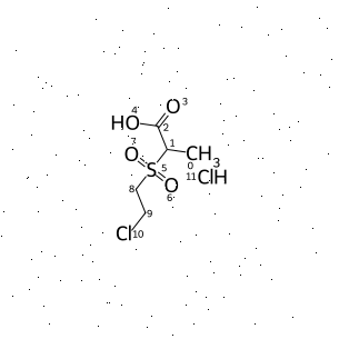 CC(C(=O)O)S(=O)(=O)CCCl.Cl